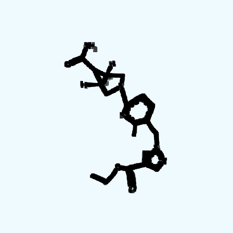 CCOC(=O)c1cnn(Cc2ccc(N3C[C@@H]4C(C(N)=O)[C@@H]4C3)nc2C)c1